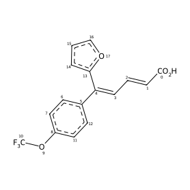 O=C(O)/C=C/C=C(/c1ccc(OC(F)(F)F)cc1)c1ccco1